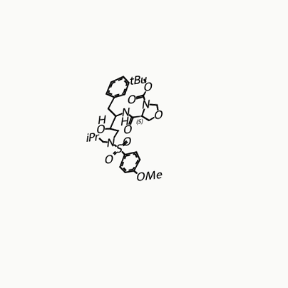 COc1ccc(S(=O)(=O)N(CC(C)C)CC(O)C(Cc2ccccc2)NC(=O)[C@@H]2COCN2C(=O)OC(C)(C)C)cc1